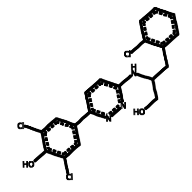 OCC(Cc1ccccc1Cl)Nc1ccc(-c2cc(Cl)c(O)c(Cl)c2)nn1